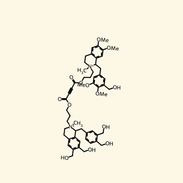 COc1cc2c(cc1OC)C(Cc1cc(CO)c(OC)c(OC)c1)[N+](C)(CCCOC(=O)C#CC(=O)OCCC[N+]1(C)CCc3cc(CO)c(CO)cc3C1Cc1ccc(CO)c(CO)c1)CC2